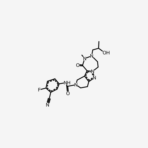 CC(O)CN1CCn2nc3c(c2C(=O)N1C)CN(C(=O)Nc1ccc(F)c(C#N)c1)CC3